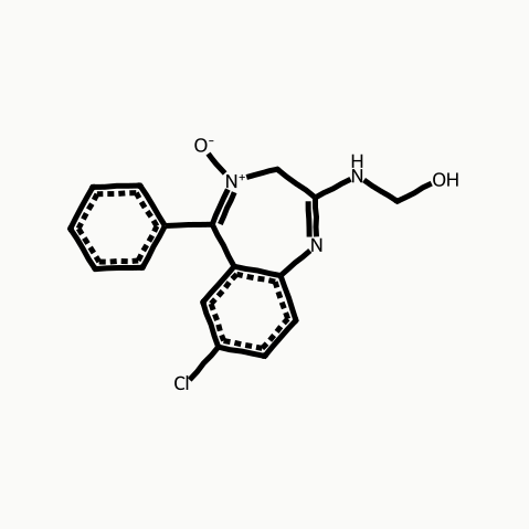 [O-][N+]1=C(c2ccccc2)c2cc(Cl)ccc2N=C(NCO)C1